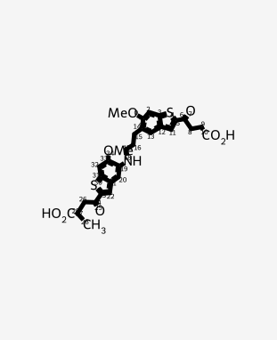 COc1cc2sc(C(=O)CCC(=O)O)cc2cc1CCCNc1cc2cc(C(=O)C[C@H](C)C(=O)O)sc2cc1OC